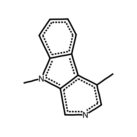 Cc1cncc2c1c1ccccc1n2C